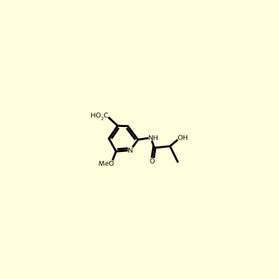 COc1cc(C(=O)O)cc(NC(=O)C(C)O)n1